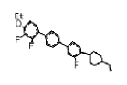 C=CC1CCC(c2ccc(-c3ccc(-c4ccc(OCC)c(F)c4F)cc3)cc2F)CC1